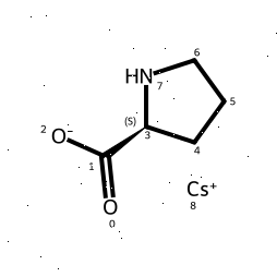 O=C([O-])[C@@H]1CCCN1.[Cs+]